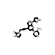 C[C@@H]1COCCN1c1cc(C#CCn2cc[nH]c2=O)c2cnn(-c3cc[nH]n3)c2n1